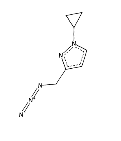 [N-]=[N+]=NCc1ccn(C2CC2)n1